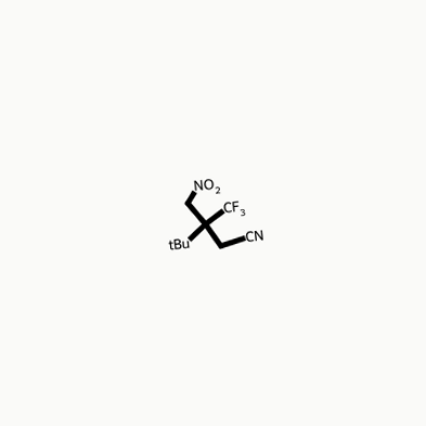 CC(C)(C)C(CC#N)(C[N+](=O)[O-])C(F)(F)F